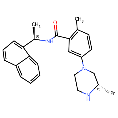 Cc1ccc(N2CCN[C@@H](C(C)C)C2)cc1C(=O)N[C@H](C)c1cccc2ccccc12